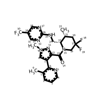 Cc1cccnc1-c1cn(C)nc1C(=O)N1CC(F)(F)C[C@@H](C)[C@H]1CNc1ncc(C(F)(F)F)cn1